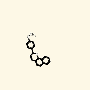 COc1ccc(C2C=Cc3ccc4ccccc4c3O2)cc1